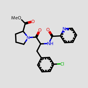 COC(=O)C1CCCN1C(=O)C(Cc1cccc(Cl)c1)NC(=O)c1ccccn1